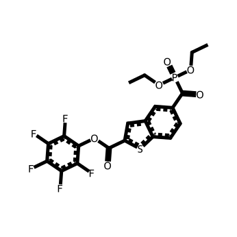 CCOP(=O)(OCC)C(=O)c1ccc2sc(C(=O)Oc3c(F)c(F)c(F)c(F)c3F)cc2c1